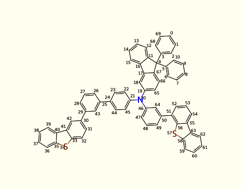 c1ccc(C2(c3ccccc3)c3ccccc3-c3cc(N(c4ccc(-c5cccc(-c6ccc7sc8ccccc8c7c6)c5)cc4)c4cccc(-c5cccc6c5sc5ccccc56)c4)ccc32)cc1